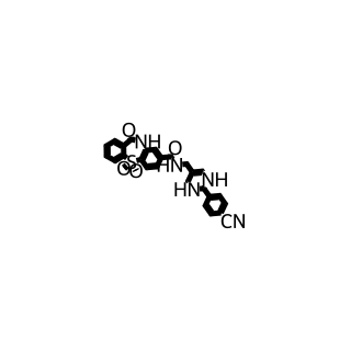 N#Cc1ccc(C2NC=C(CNC(=O)c3ccc4c(c3)NC(=O)c3ccccc3S4(=O)=O)CN2)cc1